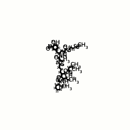 CCC(C)[C@H](NC(=O)[C@H]1CCCCN1C)C(=O)C(CCCc1nc(C(=O)N[C@@H](Cc2ccc(O)c(N=O)c2)C[C@H](C)C(=O)OCCSSC)cs1)COC(=O)CC(C)C